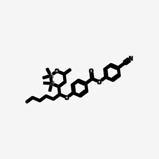 CCCCCC(Oc1ccc(C(=O)Oc2ccc(C#N)cc2)cc1)C1CC(C)O[Si](C)(C)[Si]1(C)C